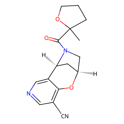 CC1(C(=O)N2C[C@@H]3C[C@H]2c2cncc(C#N)c2O3)CCCO1